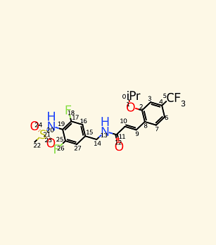 CC(C)Oc1cc(C(F)(F)F)ccc1/C=C/C(=O)NCc1cc(F)c(NS(C)(=O)=O)c(F)c1